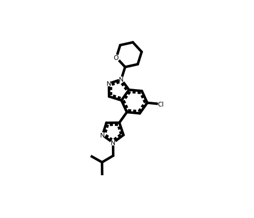 CC(C)Cn1cc(-c2cc(Cl)cc3c2cnn3C2CCCCO2)cn1